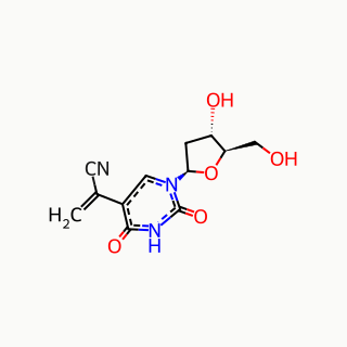 C=C(C#N)c1cn([C@H]2C[C@H](O)[C@@H](CO)O2)c(=O)[nH]c1=O